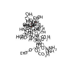 CCOCCOCCC(=O)NC(CCC(=O)O)C(=O)NC(CCCNC(=N)N)C(=O)NC(CC(=O)O)C(=O)N1CCCC1C(=O)NC(Cc1ccc(O)cc1)C(=O)NC(CO)C(=O)N1CC(O)CC1C(=O)NC(CO)C(=O)NC(CCC(N)=O)C(=O)NC(CC(=O)O)C(=O)N1CCCC1C(=O)NC(Cc1ccc(O)cc1)C(=O)NC(CO)C(=O)N1CC(O)CC1C(=O)NC(CO)C(N)=O